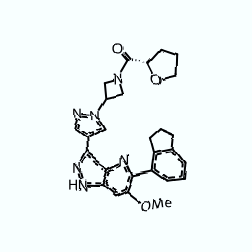 COc1cc2[nH]nc(-c3cnn(C4CN(C(=O)[C@@H]5CCCO5)C4)c3)c2nc1-c1cccc2c1CCC2